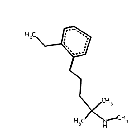 CCc1ccccc1CCCC(C)(C)NC